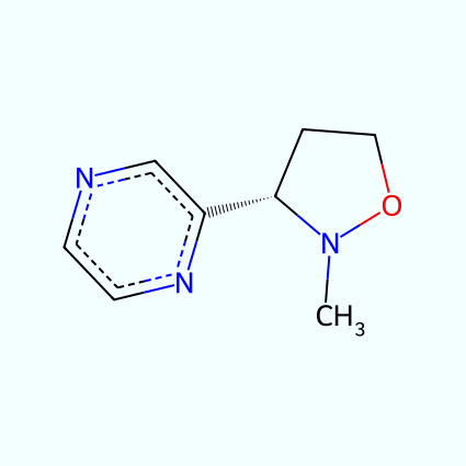 CN1OCC[C@H]1c1cnccn1